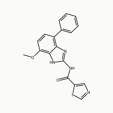 COc1ccc(-c2ccccc2)c2nc(NC(=O)c3cncs3)[nH]c12